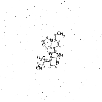 C/C=C(\C=C/Cc1nc2c(/C(C)=C/CC#N)ccnc2[nH]1)N1CCOCC1